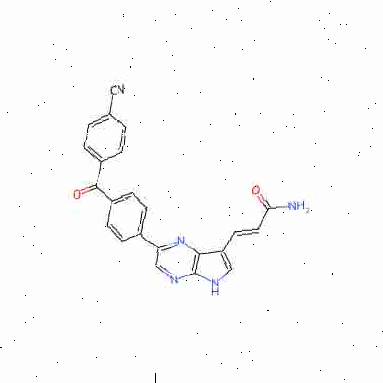 N#Cc1ccc(C(=O)c2ccc(-c3cnc4[nH]cc(/C=C/C(N)=O)c4n3)cc2)cc1